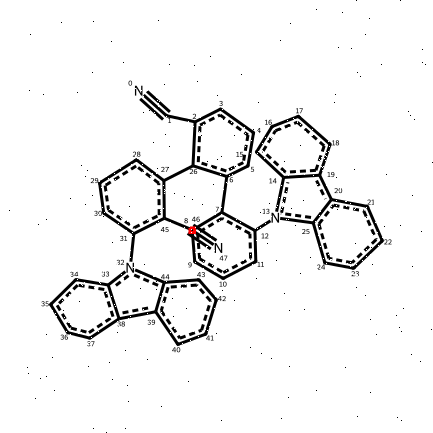 N#Cc1cccc(-c2ccccc2-n2c3ccccc3c3ccccc32)c1-c1cccc(-n2c3ccccc3c3ccccc32)c1C#N